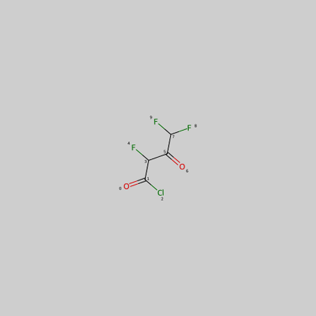 O=C(Cl)C(F)C(=O)C(F)F